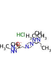 CCCc1cc(N2CCN(CCC[S+]([O-])c3nnc(CC)n3C)CC2)nc(C(C)(C)C)n1.Cl